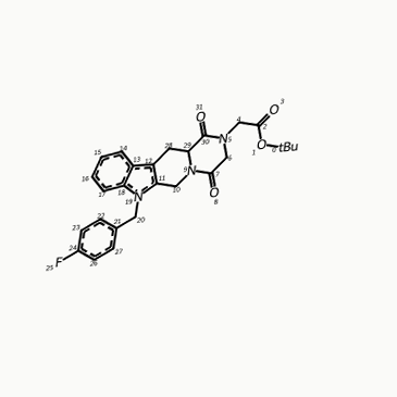 CC(C)(C)OC(=O)CN1CC(=O)N2Cc3c(c4ccccc4n3Cc3ccc(F)cc3)CC2C1=O